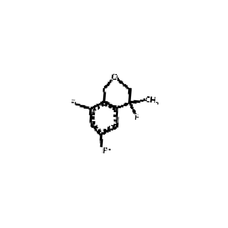 CC(C)c1cc(F)c2c(c1)C(C)(F)COC2